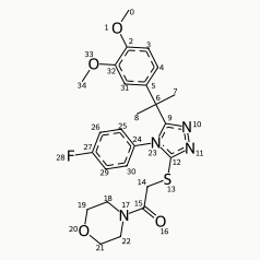 COc1ccc(C(C)(C)c2nnc(SCC(=O)N3CCOCC3)n2-c2ccc(F)cc2)cc1OC